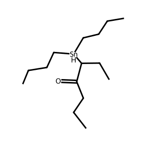 CCC[CH2][SnH]([CH2]CCC)[CH](CC)C(=O)CCC